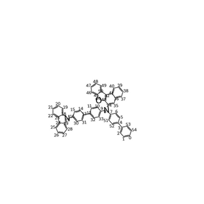 c1ccc(-c2ccc(N(c3ccc(-c4ccc(-n5c6ccccc6c6ccccc65)cc4)cc3)c3cc4ccccc4c4c3oc3ccccc34)cc2)cc1